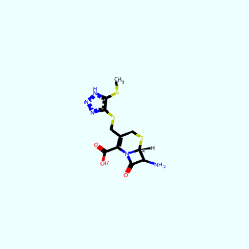 CSc1[nH]nnc1SCC1=C(C(=O)O)N2C(=O)C(N)[C@H]2SC1